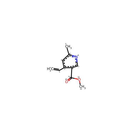 C=Cc1cc(C)ncc1C(=O)OC